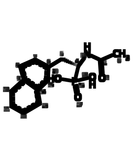 CC(=O)N[C@@H](Cc1ccc2ccccc2c1)P(=O)(O)O